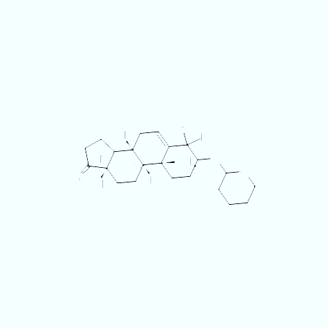 C[C@]12CCC(OC3CCCCO3)C(F)(F)C1=CC[C@@H]1[C@H]2CC[C@]2(C)C(=O)CC[C@@H]12